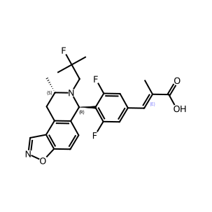 C/C(=C\c1cc(F)c([C@H]2c3ccc4oncc4c3C[C@H](C)N2CC(C)(C)F)c(F)c1)C(=O)O